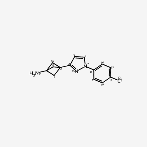 NC12CC(c3ccn(-c4ccc(Cl)cc4)n3)(C1)C2